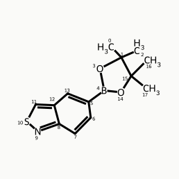 CC1(C)OB(c2ccc3nscc3c2)OC1(C)C